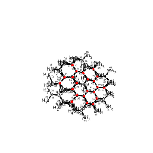 BBB(B)B(B(B)B)B(B(B(B(B)B)B(B)B)B(B(B)B)B(B)B)B(B(B(B(B)B)B(B)B)B(B(B)B)B(B)B)B(B(B(B(B(B)B)B(B)B)B(B(B)B)B(B)B)B(B(B(B)B)B(B)B)B(B(B)B)B(B)B)B(B(B(B(B)B)B(B)B)B(B(B)B)B(B)B)B(B(B(B)B)B(B)B)B(B(B)B)B(B)B